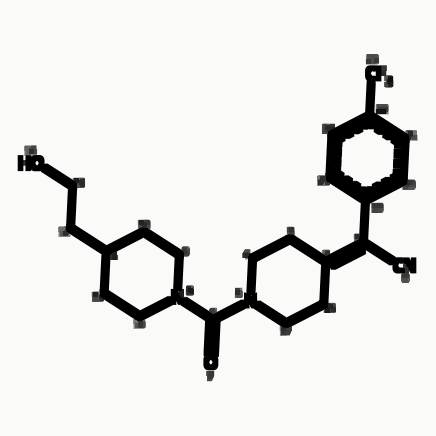 N#CC(=C1CCN(C(=O)N2CCC(CCO)CC2)CC1)c1ccc(C(F)(F)F)cc1